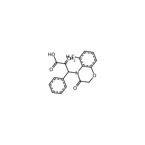 C=C(C(=O)O)C(c1ccccc1)N1C(=O)COc2cccc(C)c21